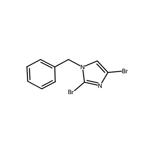 Brc1cn(Cc2ccccc2)c(Br)n1